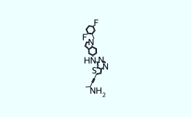 CC(N)C#Cc1cc2ncnc(Nc3ccc4c(ccn4Cc4cc(F)ccc4F)c3)c2s1